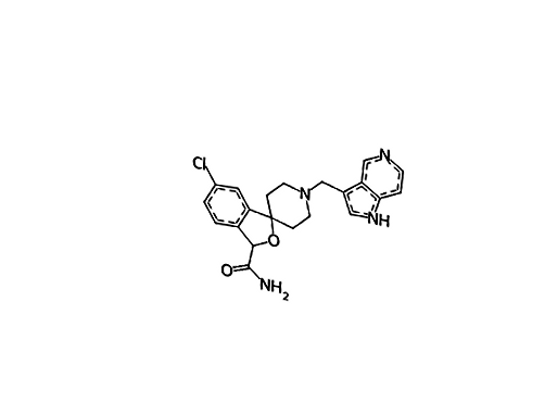 NC(=O)C1OC2(CCN(Cc3c[nH]c4ccncc34)CC2)c2cc(Cl)ccc21